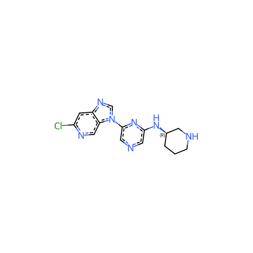 Clc1cc2ncn(-c3cncc(N[C@@H]4CCCNC4)n3)c2cn1